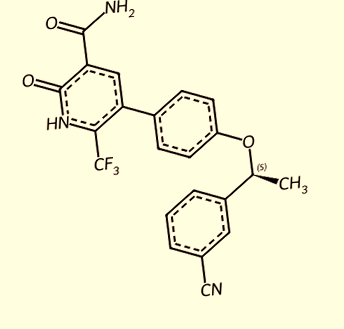 C[C@H](Oc1ccc(-c2cc(C(N)=O)c(=O)[nH]c2C(F)(F)F)cc1)c1cccc(C#N)c1